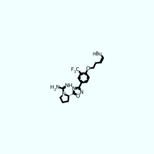 CCCC/C=C\CCOc1ccc(-c2noc([C@@H]3CCCN3C(=N)N)n2)cc1C(F)(F)F